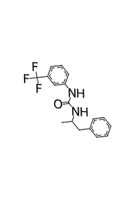 CC(Cc1ccccc1)NC(=O)Nc1cccc(C(F)(F)F)c1